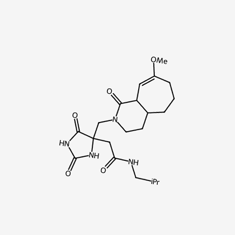 COC1=CC2C(=O)N(CC3(CC(=O)NCC(C)C)NC(=O)NC3=O)CCC2CCC1